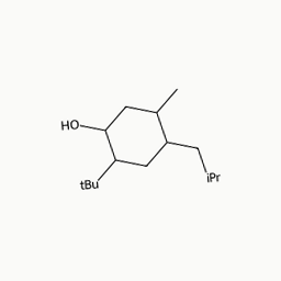 CC(C)CC1CC(C(C)(C)C)C(O)CC1C